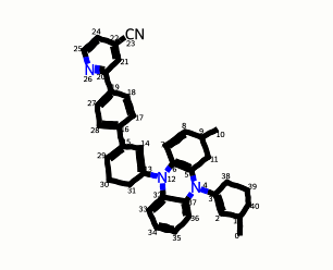 CC1C=C(N2C3=C(C=CC(C)C3)N(C3=CC(c4ccc(-c5cc(C#N)ccn5)cc4)=CCC3)c3ccccc32)CCC1